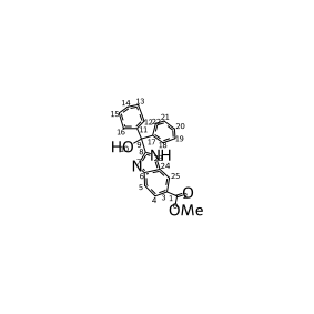 COC(=O)c1ccc2nc(C(O)(c3ccccc3)c3ccccc3)[nH]c2c1